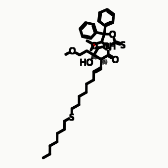 CCCCCCCSCCCCCCC=C[C@H](C(=O)N1C(=S)OC(c2ccccc2)(c2ccccc2)C1C(C)C)[C@@](O)(CCOC)C(=O)O